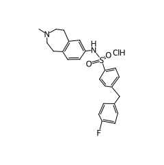 CN1CCc2ccc(NS(=O)(=O)c3ccc(Cc4ccc(F)cc4)cc3)cc2CC1.Cl